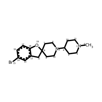 CN1CCC(N2CCC3(CC2)Cc2cc(Br)ccc2O3)CC1